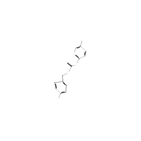 Cc1ccc(NC(=O)NCc2ccc(Cl)cc2)nc1